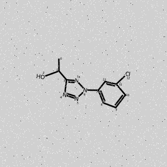 CC(O)c1nnn(-c2cccc(Cl)c2)n1